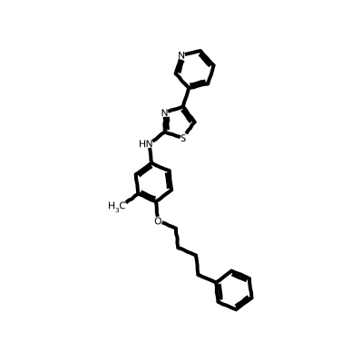 Cc1cc(Nc2nc(-c3cccnc3)cs2)ccc1OCCCCc1ccccc1